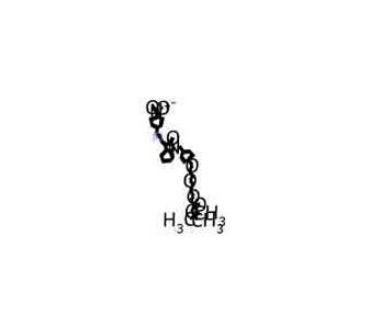 CC(C)(C)OC(=O)COCCOCCOc1ccc(CN2C(=O)C(=C/C=C/c3ccc([N+](=O)[O-])cc3)c3ccccc32)cc1